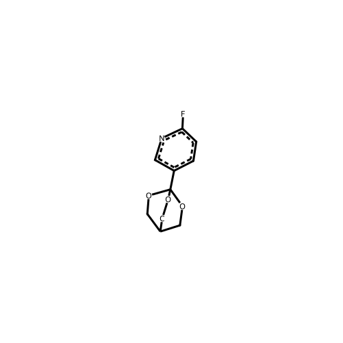 Fc1ccc(C23OCC(CO2)CO3)cn1